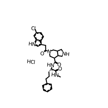 CNC(=O)[C@H](CCCc1ccccc1)NC(=O)C1CN(C(=O)Cc2c[nH]c3cc(Cl)ccc23)CC2CNCC21.Cl